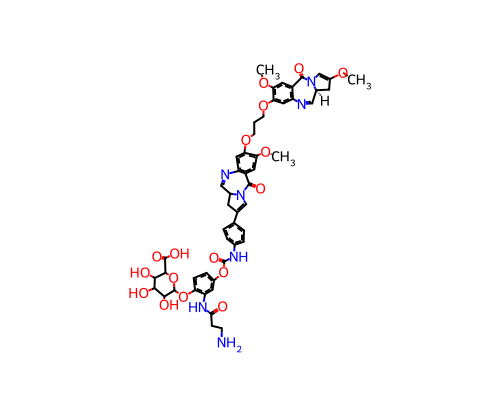 COC1=CN2C(=O)c3cc(OC)c(OCCCOc4cc5c(cc4OC)C(=O)N4C=C(c6ccc(NC(=O)Oc7ccc(OC8OC(C(=O)O)C(O)C(O)C8O)c(NC(=O)CCN)c7)cc6)CC4C=N5)cc3N=C[C@@H]2C1